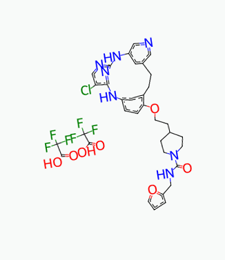 O=C(NCc1ccco1)N1CCC(CCOc2ccc3cc2CCc2cncc(c2)Nc2ncc(Cl)c(n2)N3)CC1.O=C(O)C(F)(F)F.O=C(O)C(F)(F)F